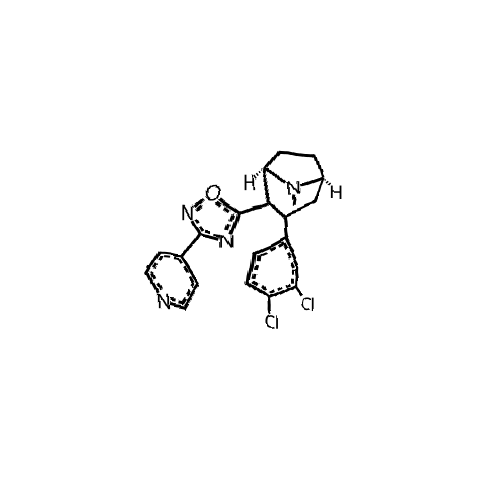 CN1[C@H]2CC[C@@H]1C(c1nc(-c3ccncc3)no1)C(c1ccc(Cl)c(Cl)c1)C2